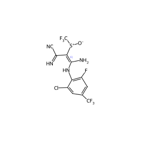 N#CC(=N)/C(=C(/N)Nc1c(F)cc(C(F)(F)F)cc1Cl)[S+]([O-])C(F)(F)F